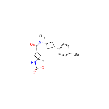 CN(C(=O)[C@H]1C[C@]2(COC(=O)N2)C1)[C@H]1C[C@@H](c2ccc(C(C)(C)C)cc2)C1